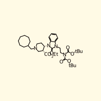 CCOC(=O)[C@@H]1CN(CC2CCCCCCC2)CC[C@@H]1n1c(=O)n(CCN(C(=O)OC(C)(C)C)C(=O)OC(C)(C)C)c2ccccc21